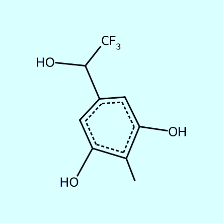 Cc1c(O)cc(C(O)C(F)(F)F)cc1O